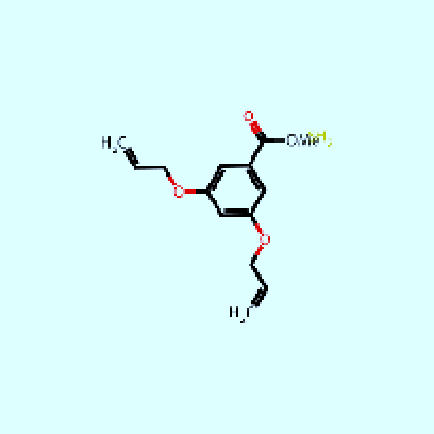 C=CCOc1cc(OCC=C)cc(C(=O)OC)c1.S